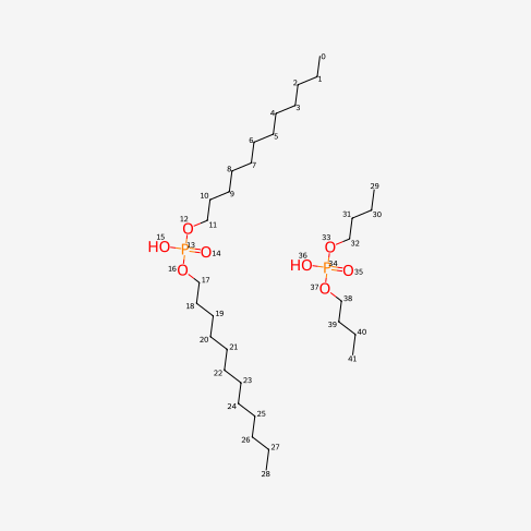 CCCCCCCCCCCCOP(=O)(O)OCCCCCCCCCCCC.CCCCOP(=O)(O)OCCCC